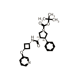 CC(C)(C)OC(=O)N1C[C@@H](C(=O)N[C@H]2C[C@H](Oc3cccnc3)C2)[C@H](c2ccccc2)C1